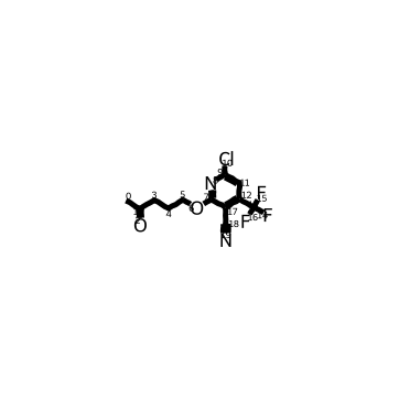 CC(=O)CCCOc1nc(Cl)cc(C(F)(F)F)c1C#N